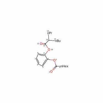 CCCCCCC(=O)Oc1ccccc1OC(=O)C(CCC)CCCC